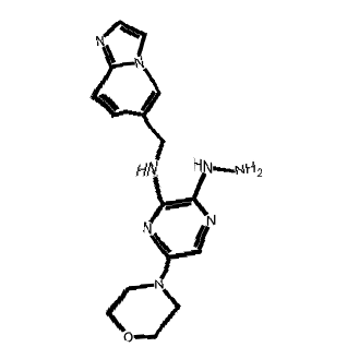 NNc1ncc(N2CCOCC2)nc1NCc1ccc2nccn2c1